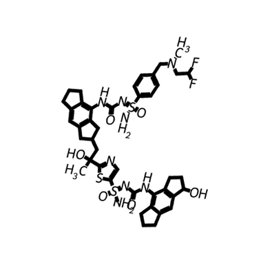 CN(Cc1ccc(S(N)(=O)=NC(=O)Nc2c3c(cc4c2CC(CC(C)(O)c2ncc(S(N)(=O)=NC(=O)Nc5c6c(cc7c5CCC7O)CCC6)s2)C4)CCC3)cc1)CC(F)F